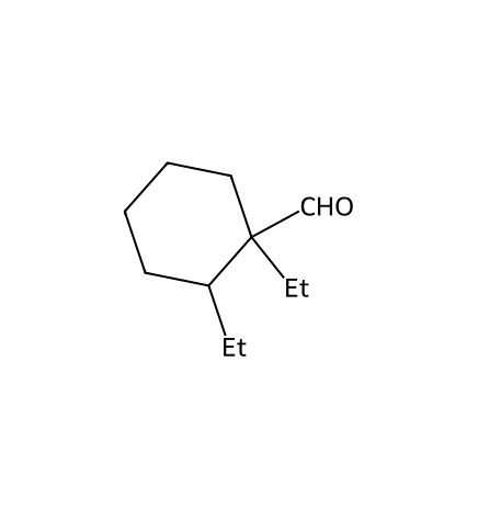 CCC1CCCCC1(C=O)CC